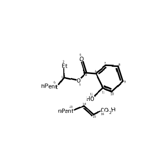 CCCCCC(CC)OC(=O)c1ccccc1O.CCCCCC=CC(=O)O